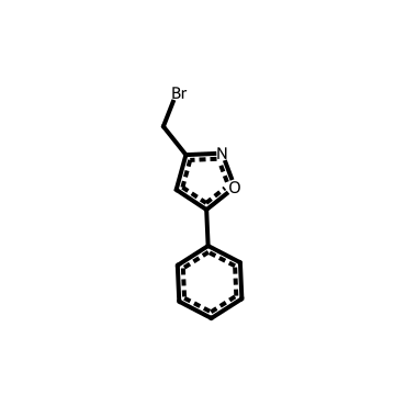 BrCc1cc(-c2ccccc2)on1